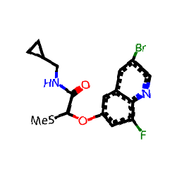 CSC(Oc1cc(F)c2ncc(Br)cc2c1)C(=O)NCC1CC1